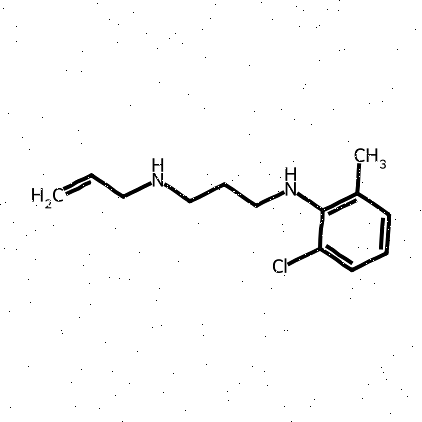 C=CCNCCCNc1c(C)cccc1Cl